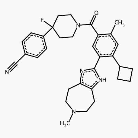 Cc1cc(C2CCC2)c(-c2nc3c([nH]2)CCN(C)CC3)cc1C(=O)N1CCC(F)(c2ccc(C#N)cc2)CC1